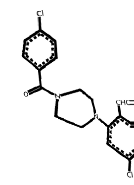 O=[C]c1ccc(Cl)cc1N1CCN(C(=O)c2ccc(Cl)cc2)CC1